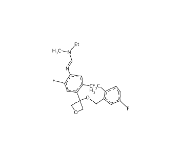 CCN(C)C=Nc1cc(C)c(C2(OCc3cc(F)ccc3C(F)(F)F)COC2)cc1F